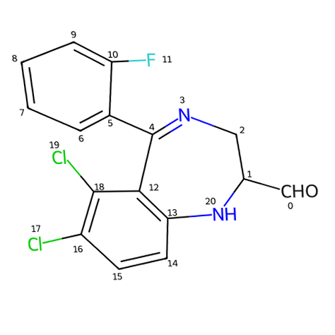 O=CC1CN=C(c2ccccc2F)c2c(ccc(Cl)c2Cl)N1